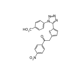 O=C(O)c1ccc(-n2nnnc2-c2ccc(CC(=O)c3ccc([N+](=O)[O-])cc3)s2)cc1